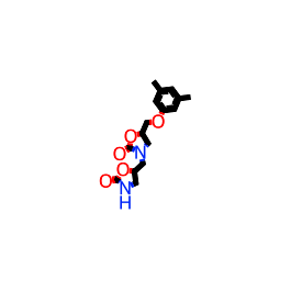 Cc1cc(C)cc(OCC2CN(CC3CNC(=O)O3)C(=O)O2)c1